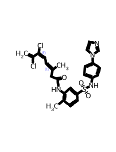 C=C(Cl)/C(Cl)=C\C=C(/C)CC(=O)Nc1cc(S(=O)(=O)Nc2ccc(-n3ccnc3)cc2)ccc1C